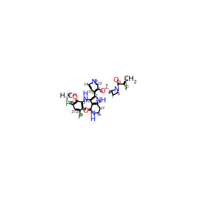 C=C(F)C(=O)N1CC[C@@H]1COc1cnccc1-c1[nH]c2c(c1Nc1cc(F)cc(F)c1OC)C(=O)NCC2